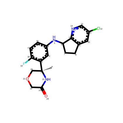 C[C@@]1(c2cc(NC3CCc4cc(Cl)cnc43)ccc2F)COCC(=O)N1